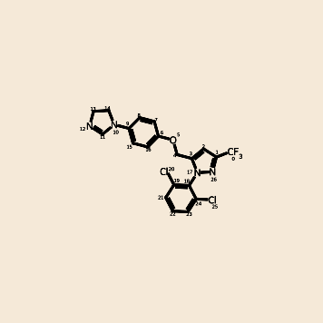 FC(F)(F)c1cc(COc2ccc(N3C=NCC3)cc2)n(-c2c(Cl)cccc2Cl)n1